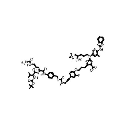 Cc1cc(N(CCCC(O)C[N+](C)(C)C)c2nc(C(=O)[O-])c(CCCOc3ccc(C#CCN(C)C(=O)OCc4ccc(NC(=O)[C@H](CCCNC(N)=O)NC(=O)[C@@H](NC(=O)OC(C)(C)C)C(C)C)cc4)cc3F)s2)nnc1Nc1nc2ccccc2s1